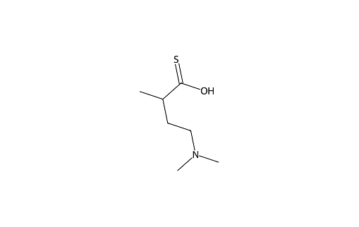 CC(CCN(C)C)C(O)=S